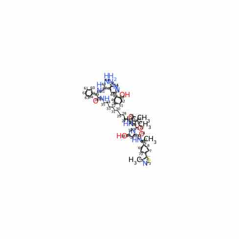 Cc1ncsc1-c1ccc([C@H](C)NC(=O)[C@@H]2C[C@@H](O)CN2C(=O)[C@@H](NC(=O)CCCCCCCCCNC(=O)C(N/C=C(\C=N)c2cc(-c3ccccc3O)nnc2N)c2ccccc2)C(C)(C)C)cc1